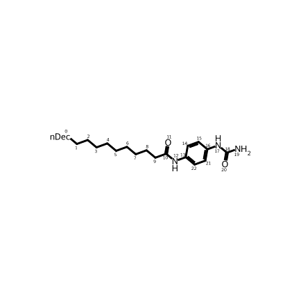 CCCCCCCCCCCCCCCCCCCC(=O)Nc1ccc(NC(N)=O)cc1